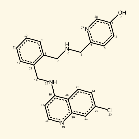 Oc1ccc(CNCc2ccccc2CNc2ccnc3cc(Cl)ccc23)nc1